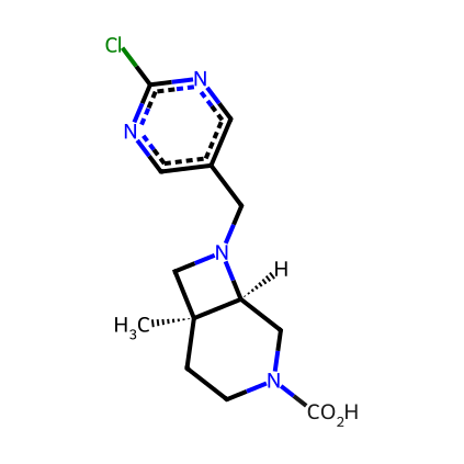 C[C@@]12CCN(C(=O)O)C[C@@H]1N(Cc1cnc(Cl)nc1)C2